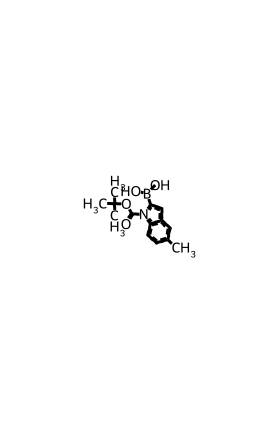 Cc1ccc2c(c1)cc(B(O)O)n2C(=O)OC(C)(C)C